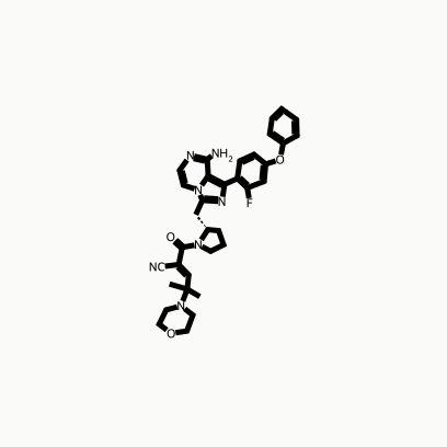 CC(C)(/C=C(\C#N)C(=O)N1CCC[C@H]1Cc1nc(-c2ccc(Oc3ccccc3)cc2F)c2c(N)nccn12)N1CCOCC1